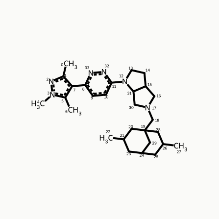 Cc1nn(C)c(C)c1-c1ccc(N2CCC3CN(CC45CC(C)CC(CC(C)C4)C5)CC32)nn1